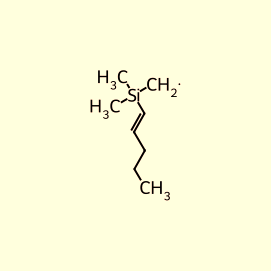 [CH2][Si](C)(C)C=CCCC